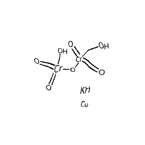 [Cu].[KH].[O]=[Cr](=[O])([OH])[O][Cr](=[O])(=[O])[OH]